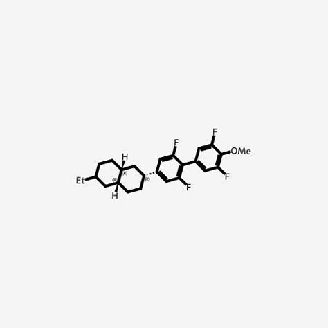 CCC1CC[C@@H]2C[C@H](c3cc(F)c(-c4cc(F)c(OC)c(F)c4)c(F)c3)CC[C@@H]2C1